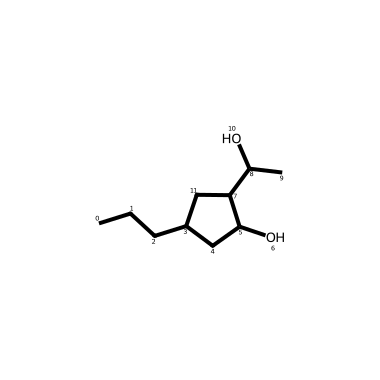 CCCC1CC(O)C(C(C)O)C1